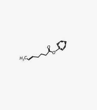 CC=CCCCC(=O)Oc1ccccc1